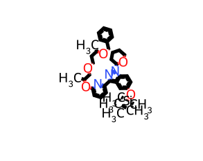 CC(CCOCC(C)Oc1cccc(-c2nn(C3CCCCO3)c3ccc(O[Si](C)(C)C(C)(C)C)cc23)n1)OCc1ccccc1